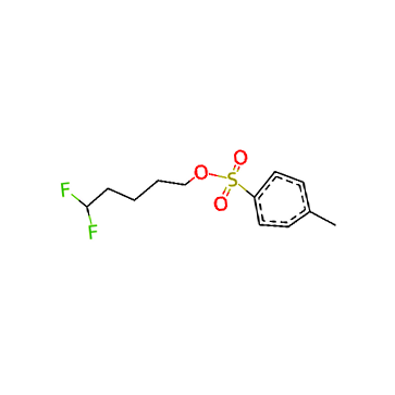 Cc1ccc(S(=O)(=O)OCCCCC(F)F)cc1